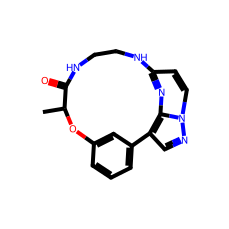 CC1Oc2cccc(c2)-c2cnn3ccc(nc23)NCCNC1=O